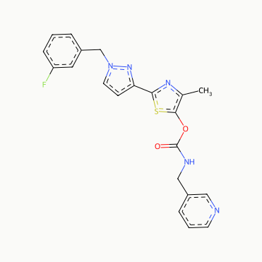 Cc1nc(-c2ccn(Cc3cccc(F)c3)n2)sc1OC(=O)NCc1cccnc1